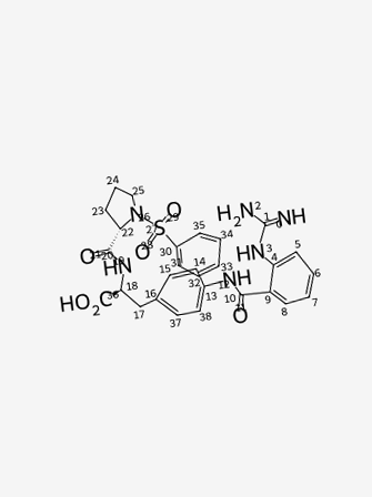 N=C(N)Nc1ccccc1C(=O)Nc1ccc(C[C@H](NC(=O)[C@@H]2CCCN2S(=O)(=O)c2ccccc2)C(=O)O)cc1